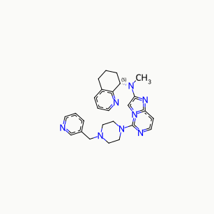 CN(c1cn2c(N3CCN(Cc4cccnc4)CC3)nccc2n1)[C@H]1CCCc2cccnc21